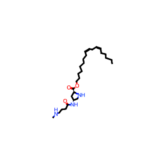 CCCCC/C=C\C/C=C\CCCCCCCCOC(=O)[C@@H]1C[C@@H](NC(=O)CCCNC)CN1